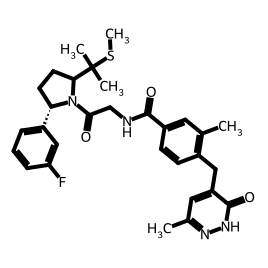 CSC(C)(C)C1CC[C@@H](c2cccc(F)c2)N1C(=O)CNC(=O)c1ccc(Cc2cc(C)n[nH]c2=O)c(C)c1